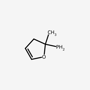 CC1(P)CC=CO1